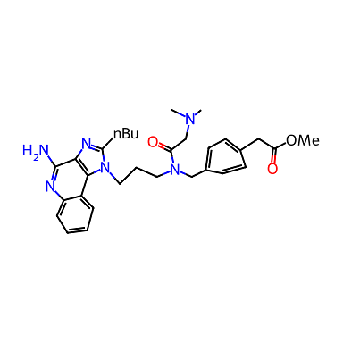 CCCCc1nc2c(N)nc3ccccc3c2n1CCCN(Cc1ccc(CC(=O)OC)cc1)C(=O)CN(C)C